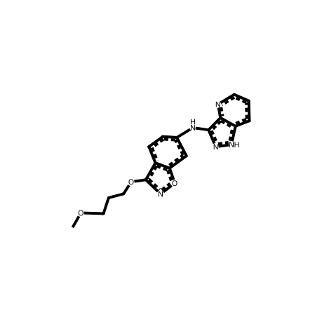 COCCCOc1noc2cc(Nc3n[nH]c4cccnc34)ccc12